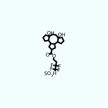 O=C(OCCC(F)(F)C(F)(F)S(=O)(=O)O)C1CC2C(C1)C1CCCC1(O)CCC1(O)CCCC21